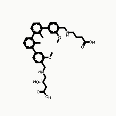 COc1cc(-c2cccc(-c3cccc(-c4ccc(CNC[C@@H](O)CC(=O)O)c(OC)c4)c3C)c2C)ccc1CNCCCC(=O)O